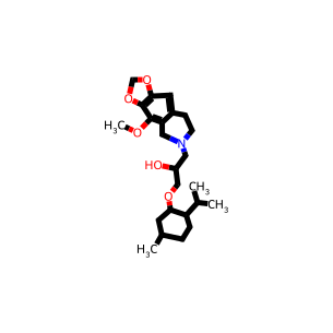 COc1c2c(cc3c1OCO3)CCN(CC(O)COC1CC(C)CCC1C(C)C)C2